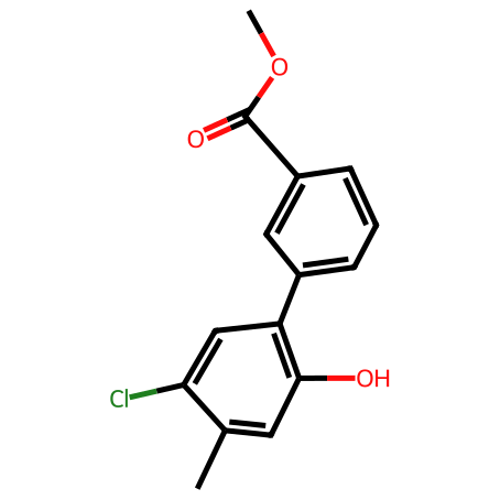 COC(=O)c1cccc(-c2cc(Cl)c(C)cc2O)c1